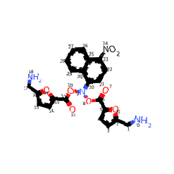 NCc1ccc(C(=O)ON(OC(=O)c2ccc(CN)o2)c2ccc([N+](=O)[O-])c3ccccc23)o1